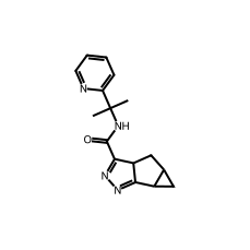 CC(C)(NC(=O)C1=NN=C2C1CC1CC21)c1ccccn1